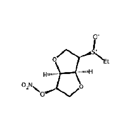 CC[S+]([O-])[C@@H]1CO[C@H]2[C@@H]1OC[C@H]2O[N+](=O)[O-]